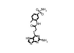 Cc1ccc(S(N)(=O)=O)cc1NC(=O)CSc1nc(N)nc2nc[nH]c12